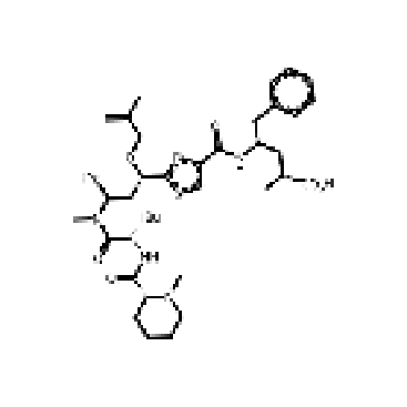 C=C(C)CO[C@H](CC(C(C)C)N(C)C(=O)[C@@H](NC(=O)[C@H]1CCCCN1C)[C@@H](C)CC)c1nc(C(=O)N[C@@H](Cc2ccccc2)C[C@H](C)C(=O)O)cs1